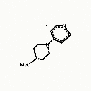 COC1CCN(c2ccncc2)CC1